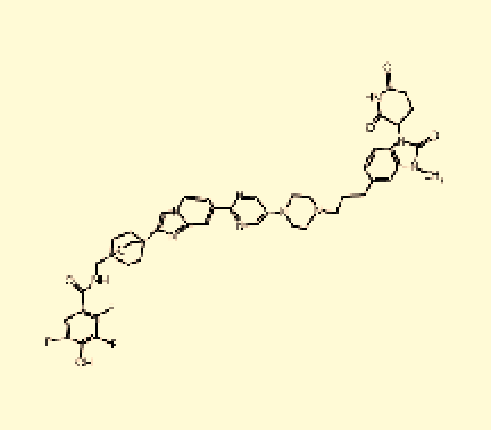 Cn1c(=O)n(C2CCC(=O)NC2=O)c2ccc(CCCN3CCN(c4cnc(-c5ccn6cc([C@]78CC[C@](CNC(=O)c9cc(F)c(O)c(F)c9F)(CC7)CC8)nc6c5)nc4)CC3)cc21